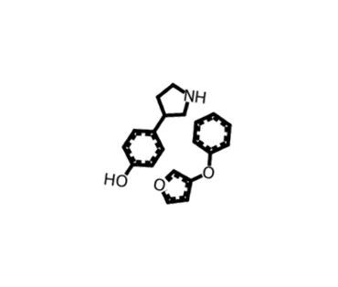 Oc1ccc(C2CCNC2)cc1.c1ccc(Oc2ccoc2)cc1